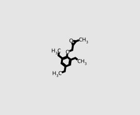 CCc1cc(CC)c(OCC2OC2C)c(CC)c1